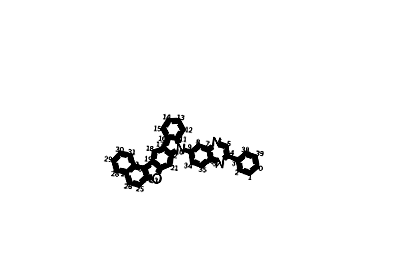 c1ccc(-c2cnc3cc(-n4c5ccccc5c5cc6c(cc54)oc4ccc5ccccc5c46)ccc3n2)cc1